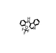 FC(F)(F)Oc1ccccc1Nc1ccnc2ccccc12